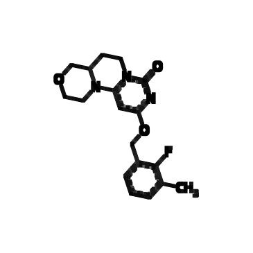 Cc1cccc(COc2cc3n(c(=O)n2)CCC2COCCN32)c1F